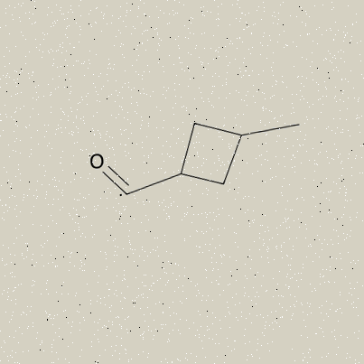 CC1CC([C]=O)C1